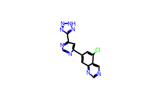 Clc1cc(-c2cc(-c3nn[nH]n3)ncn2)cc2ncncc12